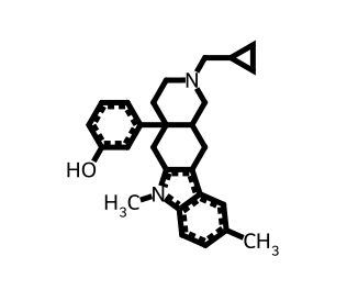 Cc1ccc2c(c1)c1c(n2C)CC2(c3cccc(O)c3)CCN(CC3CC3)CC2C1